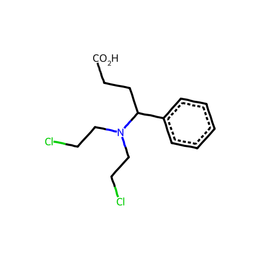 O=C(O)CCC(c1ccccc1)N(CCCl)CCCl